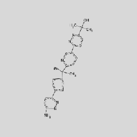 CC(C)C(C)(c1ccc(-c2ccc(N)nn2)cc1)c1ccc(-c2ccc(C(C)(C)O)nn2)cn1